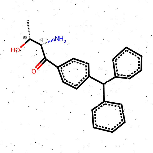 C[C@@H](O)[C@H](N)C(=O)c1ccc([C](c2ccccc2)c2ccccc2)cc1